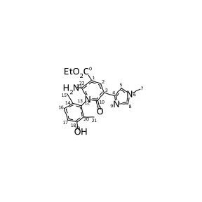 CCOC(=O)c1cc(-c2cn(C)cn2)c(=O)n(-c2c(C)ccc(O)c2C)c1N